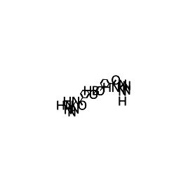 O=C(Nc1nnn[nH]1)c1cccc(OBOc2cccc(C(=O)Nc3nnn[nH]3)c2)c1